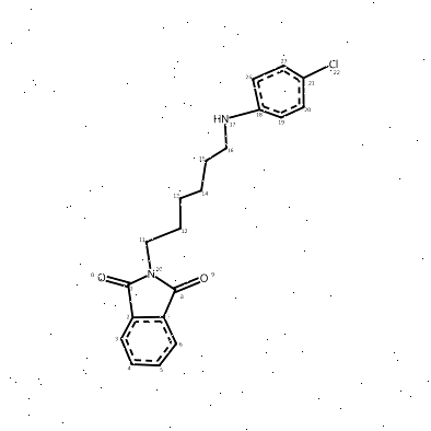 O=C1c2ccccc2C(=O)N1CCCCCCNc1ccc(Cl)cc1